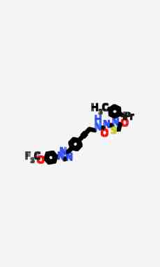 Cc1ccc(C(C)C)c(N2C(=O)CSC2=NC(=O)NCCC#Cc2ccc(-c3ncn(-c4ccc(OC(F)(F)F)cc4)n3)cc2)c1